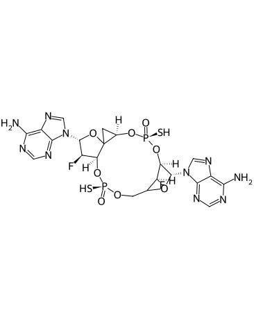 Nc1ncnc2c1ncn2[C@@H]1OC23C[C@H]2O[P@@](=O)(S)O[C@H]2[C@H](n4cnc5c(N)ncnc54)OC(CO[P@@](=O)(S)O[C@H]3[C@H]1F)[C@@H]2F